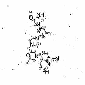 [2H]c1ccc2c(N3C[C@H](CN4CCN(c5nc(C)cc(N6C[C@H](OC)[C@@H](N)C6)n5)CC4)O[C@H](C)C3)ccc(C#N)c2n1